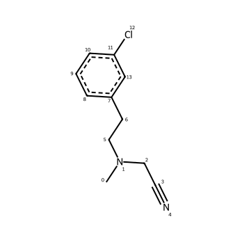 CN(CC#N)CCc1cccc(Cl)c1